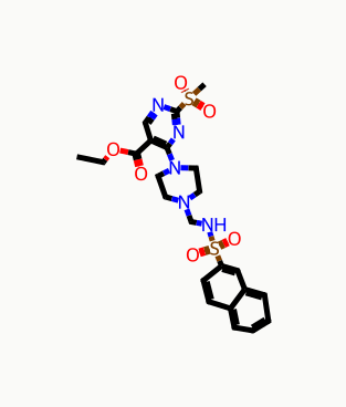 CCOC(=O)c1cnc(S(C)(=O)=O)nc1N1CCN(CNS(=O)(=O)c2ccc3ccccc3c2)CC1